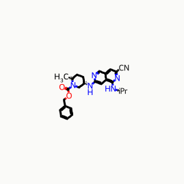 CC(C)Nc1nc(C#N)cc2cnc(N[C@H]3CC[C@H](C)N(C(=O)OCc4ccccc4)C3)cc12